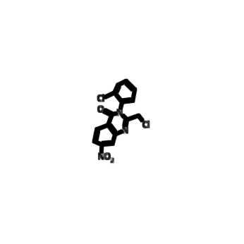 O=c1c2ccc([N+](=O)[O-])cc2nc(CCl)n1-c1ccccc1Cl